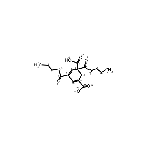 CCCOC(=O)C1=CC(C(=O)O)(C(=O)OCCC)CC(C(=O)O)=C1